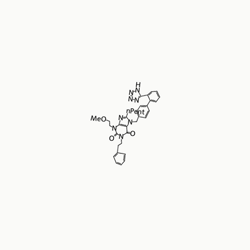 CCCCCc1nc2c(c(=O)n(CCc3ccccc3)c(=O)n2CCOC)n1Cc1ccc(-c2ccccc2-c2nnn[nH]2)cc1